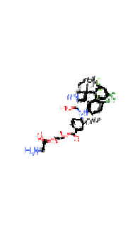 COc1cc(C(=O)OCCOC(=O)CN)ccc1NC(O)[C@@H]1N[C@@H](CC(C)(C)C)[C@](C#N)(c2ccc(Cl)cc2F)[C@H]1c1cccc(Cl)c1F